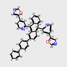 c1ccc(-c2ccc(-c3ccc4c(-c5cc(-c6cnco6)ccn5)c5ccccc5c(-c5cc(-c6cnco6)ccn5)c4c3)cc2)cc1